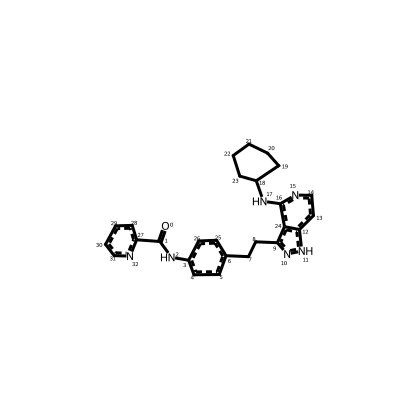 O=C(Nc1ccc(CCc2n[nH]c3ccnc(NC4CCCCC4)c23)cc1)c1ccccn1